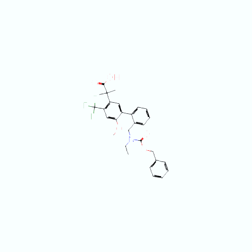 CCN(Cc1ccccc1-c1cc(C(C)(C)C(=O)O)c(C(F)(F)F)cc1OC)C(=O)OCc1ccccc1